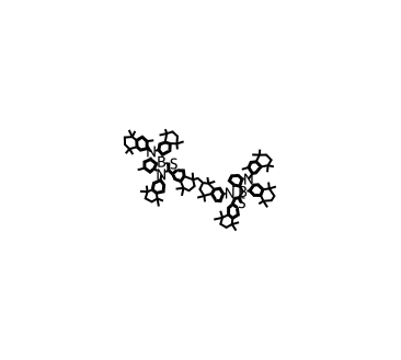 Cc1cc2c3c(c1)N(c1ccc4c(c1)C(C)(C)CCC4(C)C)c1c(sc4cc5c(cc14)C(C)(C)CCC5(C)CC1CC(C)(C)c4ccc(N5c6cccc7c6B(c6cc8c(cc6N7c6cc7c(cc6C)C(C)(C)CCC7(C)C)C(C)(C)CCC8(C)C)c6sc7cc8c(cc7c65)C(C)(C)CCC8(C)C)cc4C1(C)C)B3c1cc3c(cc1N2c1cc2c(cc1C)C(C)(C)CCC2(C)C)C(C)(C)CCC3(C)C